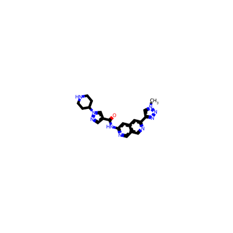 Cn1cc(-c2cc3cc(NC(=O)c4cnn(C5CCNCC5)c4)ncc3cn2)nn1